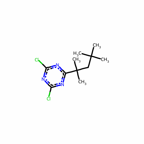 CC(C)(C)CC(C)(C)c1nc(Cl)nc(Cl)n1